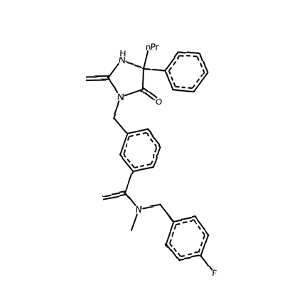 C=C(c1cccc(CN2C(=C)NC(CCC)(c3ccccc3)C2=O)c1)N(C)Cc1ccc(F)cc1